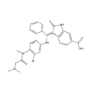 COC(=O)c1ccc2c(c1)NC(=O)C2=C(Nc1ccc(N(C)C(=O)CN(C)C)c(Br)c1)c1ccccc1